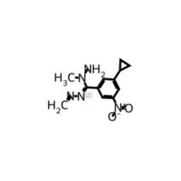 C=N/N=C(/c1cc(C2CC2)cc([N+](=O)[O-])c1)N(C)N